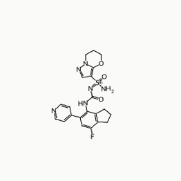 N[S@@](=O)(=NC(=O)Nc1c(-c2ccncc2)cc(F)c2c1CCC2)c1cnn2c1OCCC2